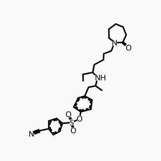 CCC(CCCCN1CCCCCC1=O)NC(C)Cc1ccc(OS(=O)(=O)c2ccc(C#N)cc2)cc1